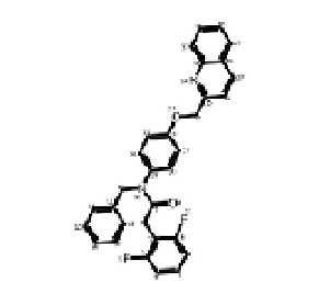 O=C(Cc1c(F)cccc1F)N(Cc1ccccc1)c1ccc(OCc2ccc3ccccc3n2)cc1